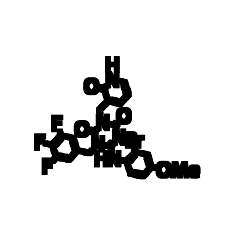 COc1ccc(Nc2nc(=O)n(Cc3ccc[nH]c3=O)c(=O)n2Cc2cc(F)c(F)c(F)c2)c(Br)c1